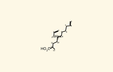 C=CCCCCCC.C=CCCCCCCCC(C)C(=O)O